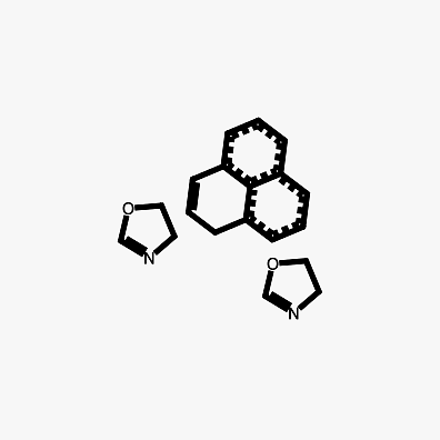 C1=Cc2cccc3cccc(c23)C1.C1=NCCO1.C1=NCCO1